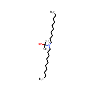 CCCCCCCCCCN(CCCCCCCCCC)C(C)(C)O